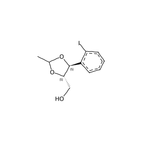 CC1O[C@@H](CO)[C@H](c2ccccc2I)O1